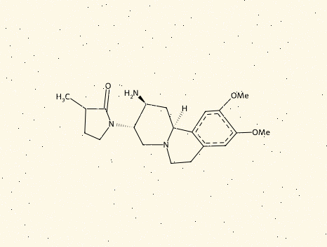 COc1cc2c(cc1OC)[C@@H]1C[C@H](N)[C@@H](N3CCC(C)C3=O)CN1CC2